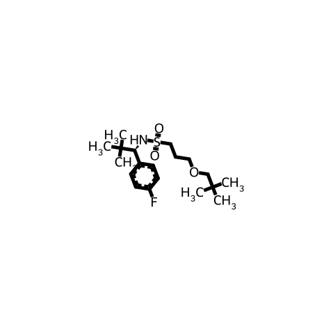 CC(C)(C)COCCCS(=O)(=O)N[C@H](c1ccc(F)cc1)C(C)(C)C